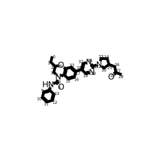 CCC1CN(C(=O)Nc2ccccc2)c2ccc(-c3cnc(N4CCC(CC(C)=O)C4)nc3)cc2O1